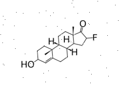 C[C@]12CCC(O)C=C1CC[C@@H]1[C@H]2CC[C@]2(C)C(=O)C(F)C[C@@H]12